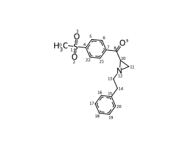 CS(=O)(=O)c1ccc(C(=O)C2CN2CCc2ccccc2)cc1